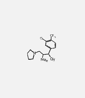 CNC(CN1CCCC1)C(O)c1ccc(C(F)(F)F)c(Cl)c1